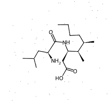 CCCC[C@@H](C)[C@@H](C)[C@@H](CC(=O)O)NC(=O)[C@@H](N)CC(C)C